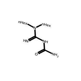 CCCCCCN(CCCCCC)C(=N)NC(N)=O